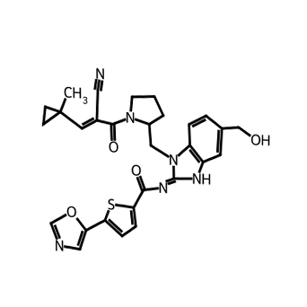 CC1(C=C(C#N)C(=O)N2CCCC2Cn2c(=NC(=O)c3ccc(-c4cnco4)s3)[nH]c3cc(CO)ccc32)CC1